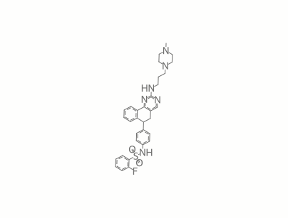 CN1CCN(CCCNc2ncc3c(n2)-c2ccccc2C(c2ccc(NS(=O)(=O)c4ccccc4F)cc2)C3)CC1